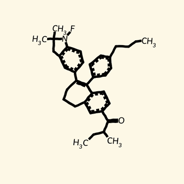 CCCCc1ccc(C2=C(c3ccc4c(c3)CC(C)(C)N4F)CCCc3cc(C(=O)C(C)CC)ccc32)cc1